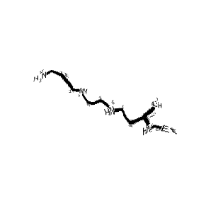 CCNC(O)CCNCCNCCN